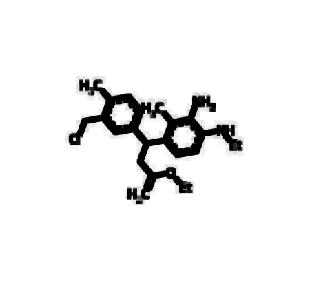 C=C(CC(c1ccc(C)c(CCl)c1)c1ccc(NCC)c(N)c1C)OCC